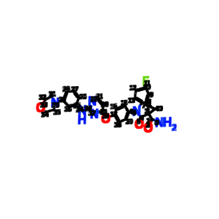 NC(=O)C1(C(=O)N(c2ccc(F)cc2)c2ccc(Oc3ccnc(Nc4cccc(N5CCOCC5)c4)n3)cc2)CC1